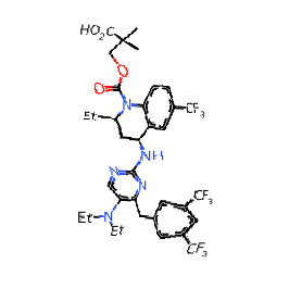 CC[C@@H]1C[C@H](Nc2ncc(N(CC)CC)c(Cc3cc(C(F)(F)F)cc(C(F)(F)F)c3)n2)c2cc(C(F)(F)F)ccc2N1C(=O)OCC(C)(C)C(=O)O